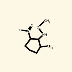 CONC1C(C)CCCC1[N+](=O)[O-]